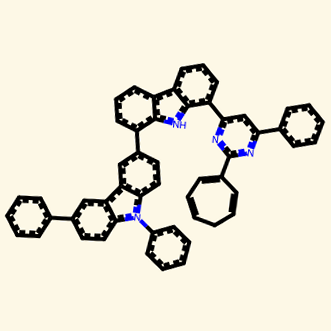 C1=CCC=CC(c2nc(-c3ccccc3)cc(-c3cccc4c3[nH]c3c(-c5ccc6c(c5)c5cc(-c7ccccc7)ccc5n6-c5ccccc5)cccc34)n2)=C1